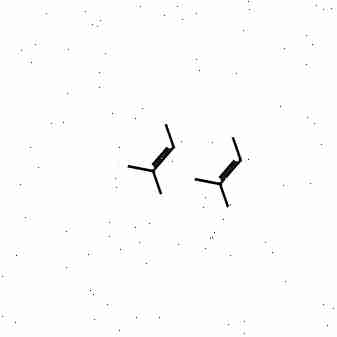 CC/C=C(/CC)C(=O)[O-].CC/C=C(/CC)C(=O)[O-].[Ca+2]